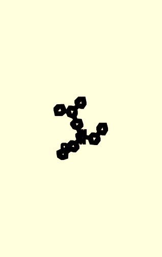 c1ccc(-c2cc(-c3ccccc3)cc(-c3ccc(-c4cc(-c5ccc6c(c5)oc5ccccc56)nc(-c5cccc(-c6ccccc6)c5)n4)cc3)c2)cc1